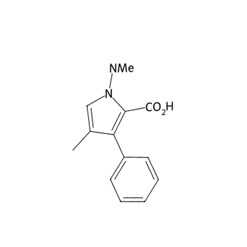 CNn1cc(C)c(-c2ccccc2)c1C(=O)O